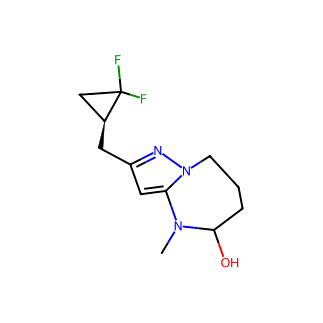 CN1c2cc(C[C@H]3CC3(F)F)nn2CCCC1O